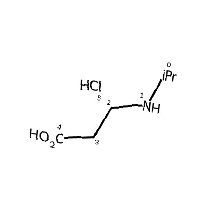 CC(C)NCCC(=O)O.Cl